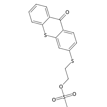 CS(=O)(=O)OCCSc1ccc2c(=O)c3ccccc3sc2c1